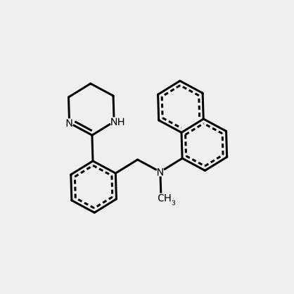 CN(Cc1ccccc1C1=NCCCN1)c1cccc2ccccc12